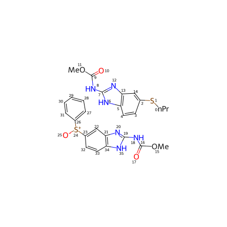 CCCSc1ccc2[nH]c(NC(=O)OC)nc2c1.COC(=O)Nc1nc2cc([S+]([O-])c3ccccc3)ccc2[nH]1